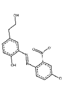 O=[N+]([O-])c1cc(Cl)ccc1/N=N/c1cc(CCO)ccc1O